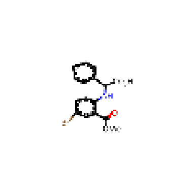 COC(=O)c1cc(Br)ccc1NC(C(=O)O)c1ccccc1